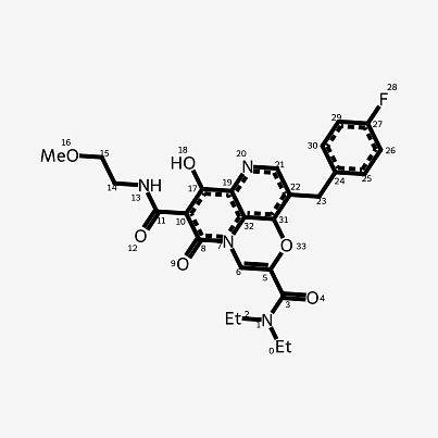 CCN(CC)C(=O)C1=Cn2c(=O)c(C(=O)NCCOC)c(O)c3ncc(Cc4ccc(F)cc4)c(c32)O1